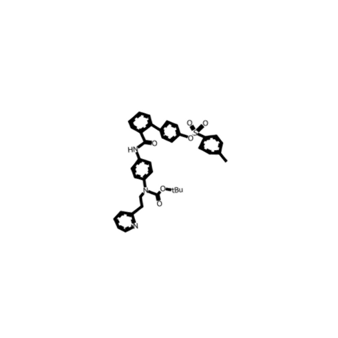 Cc1ccc(S(=O)(=O)Oc2ccc(-c3ccccc3C(=O)Nc3ccc(N(CCc4ccccn4)C(=O)OC(C)(C)C)cc3)cc2)cc1